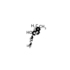 Cc1cc2c(cc1C)[C@@H]1C[C@H](O)[C@@H](CCOCSCC[18F])CN1CC2